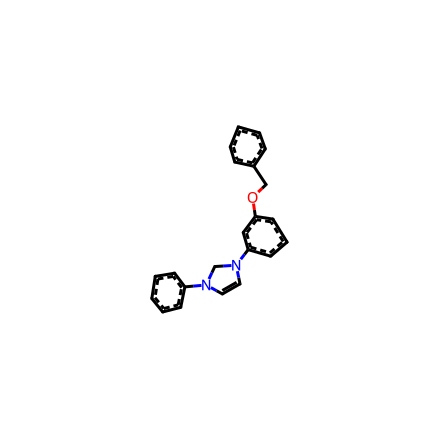 C1=CN(c2cccc(OCc3ccccc3)c2)CN1c1ccccc1